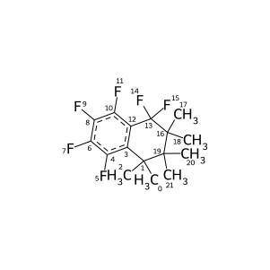 CC1(C)c2c(F)c(F)c(F)c(F)c2C(F)(F)C(C)(C)C1(C)C